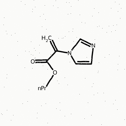 C=C(C(=O)OCCC)n1ccnc1